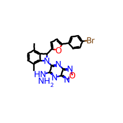 Cc1ccc(C)c2c1C(c1ccc(-c3ccc(Br)cc3)o1)N2c1nc2nonc2nc1NN